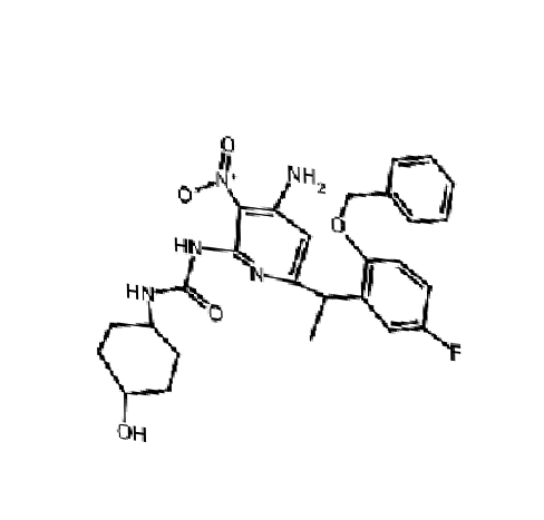 CC(c1cc(N)c([N+](=O)[O-])c(NC(=O)NC2CCC(O)CC2)n1)c1cc(F)ccc1OCc1ccccc1